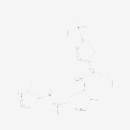 Cc1ncoc1C(=O)Nc1ccc2c(c1)S(=O)(=O)N(c1ccc(C(F)(F)F)cc1)CCCO2